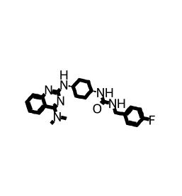 CN(C)c1nc(N[C@H]2CC[C@@H](NC(=O)NCc3ccc(F)cc3)CC2)nc2ccccc12